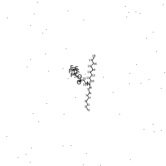 CCCCCCCCCN(CCCCCCCCC)CCC(=O)OCC(F)(F)C(F)(F)F